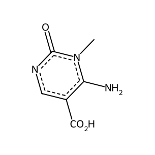 Cn1c(N)c(C(=O)O)cnc1=O